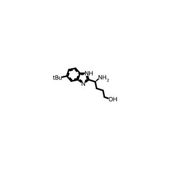 CC(C)(C)c1ccc2[nH]c([C@@H](N)CCCO)nc2c1